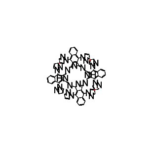 c1ccc2c(-n3cccn3)c3c(c(-n4cccn4)c2c1)-c1nc-3nc2[nH]c(nc3nc(nc4[nH]c(n1)c1c(-n5cccn5)c5ccccc5c(-n5cccn5)c41)-c1c-3c(-n3cccn3)c3ccccc3c1-n1cccn1)c1c(-n3cccn3)c3ccccc3c(-n3cccn3)c21